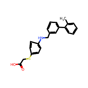 Cc1ccccc1-c1cccc(CNc2ccc(SCC(=O)O)cc2)c1